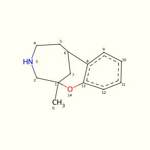 CC12CNCCC(C1)c1ccccc1O2